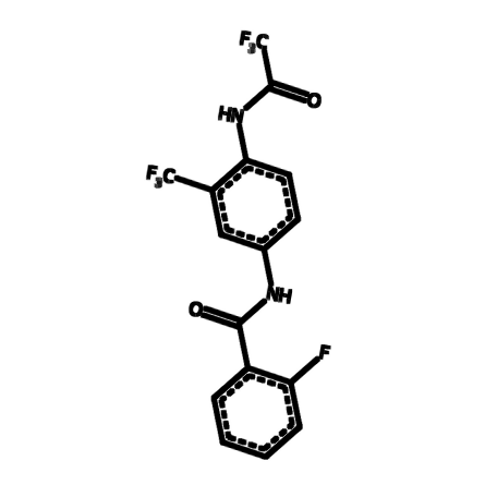 O=C(Nc1ccc(NC(=O)C(F)(F)F)c(C(F)(F)F)c1)c1ccccc1F